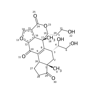 C[C@]12C[C@@H](C(O)CO)C3=C(C(=O)c4occ5c4[C@]3(C)[C@@H](CCO)OC5=O)C1CCC2=O